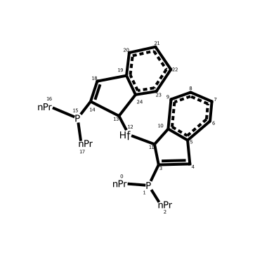 CCCP(CCC)C1=Cc2ccccc2[CH]1[Hf][CH]1C(P(CCC)CCC)=Cc2ccccc21